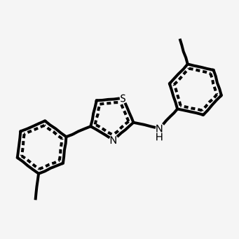 Cc1cccc(Nc2nc(-c3cccc(C)c3)cs2)c1